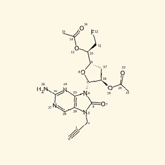 C#CCn1c(=O)n([C@@H]2O[C@H]([C@H](CF)OC(C)=O)C[C@H]2OC(C)=O)c2nc(N)ncc21